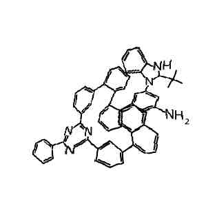 CC(C)(C)C1Nc2ccccc2N1c1cc(N)cc(-c2ccccc2-c2ccccc2-c2cccc(-c3nc(-c4ccccc4)nc(-c4cccc(-c5cccc6ccccc56)c4)n3)c2)c1